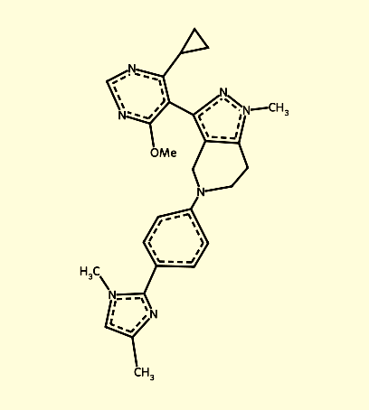 COc1ncnc(C2CC2)c1-c1nn(C)c2c1CN(c1ccc(-c3nc(C)cn3C)cc1)CC2